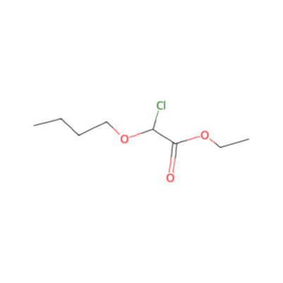 CCCCOC(Cl)C(=O)OCC